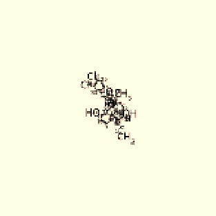 C=CCN1CC[C@]23c4c5ccc(O)c4O[C@H]2[C@H](N(C)S(=O)(=O)Cc2ccc(Cl)c(Cl)c2)CC[C@@]3(O)[C@H]1C5